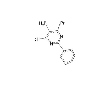 CC(C)c1nc(-c2ccccc2)nc(Cl)c1P